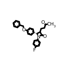 CC(=O)CCC1C(=O)N(c2ccc(F)cc2)[C@@H]1c1ccc(OCc2ccccc2)cc1